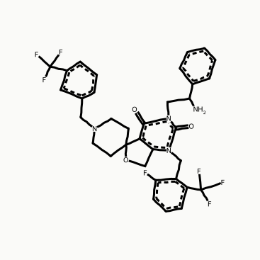 NC(Cn1c(=O)c2c(n(Cc3c(F)cccc3C(F)(F)F)c1=O)COC21CCN(Cc2cccc(C(F)(F)F)c2)CC1)c1ccccc1